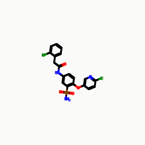 NS(=O)(=O)c1cc(NC(=O)Cc2ccccc2Cl)ccc1Oc1ccc(Cl)nc1